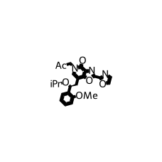 COc1ccccc1[C@H](Cc1cn(CC(C)=O)c(=O)c2nc(-c3ncco3)oc12)OC(C)C